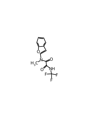 CN(C(=O)C(=O)NC(F)(F)F)c1cc2ccccc2o1